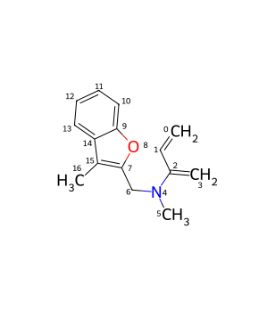 C=CC(=C)N(C)Cc1oc2ccccc2c1C